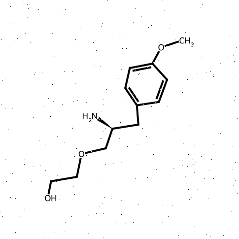 COc1ccc(C[C@H](N)COCCO)cc1